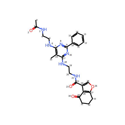 CC(=O)NCCNc1nc(-c2ccccc2)nc(NCCNC(=O)c2coc3c2C(=O)CCC3)c1C